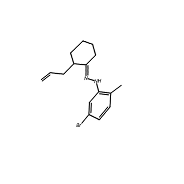 C=CCC1CCCCC1=NNc1cc(Br)ccc1C